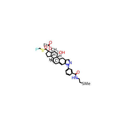 CCC(=O)O[C@]1(C(=O)SCF)CC[C@H]2[C@@H]3CCC4=Cc5c(cnn5-c5cccc(C(=O)NCCSC)c5)C[C@]4(C)[C@H]3[C@@H](O)C[C@@]21C